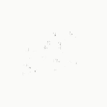 CO[C@@H]1[C@H](N)C[C@H](c2ccncc2Nc2ncc3ccc(-c4c(F)cc(S(C)(=O)=O)cc4F)nn23)C[C@@H]1C